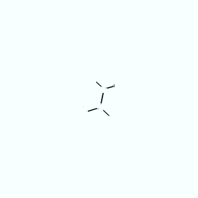 [3H]P(P)B(P)P